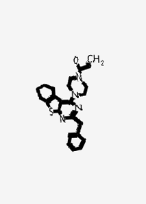 C=CC(=O)N1CCN(c2nc(Cc3ccccc3)nc3sc4c(c23)CCCC4)CC1